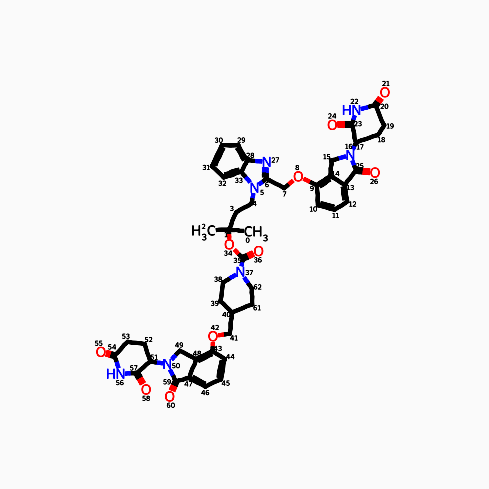 CC(C)(CCn1c(COc2cccc3c2CN(C2CCC(=O)NC2=O)C3=O)nc2ccccc21)OC(=O)N1CCC(COc2cccc3c2CN(C2CCC(=O)NC2=O)C3=O)CC1